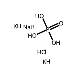 Cl.O=P(O)(O)O.[KH].[KH].[NaH]